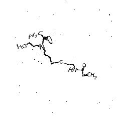 C=CC(=O)NCCSCCCN(CCO)C(C)=O